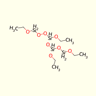 CCO[SiH2]OO[SiH](OCC)O[SiH](OCC)O[SiH2]OCC